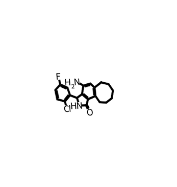 Nc1cc2c(c3c1C(c1cc(F)ccc1Cl)NC3=O)CCCCCC2